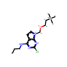 CCCNc1nc(Cl)nc2c1ccn2COCC[Si](C)(C)C